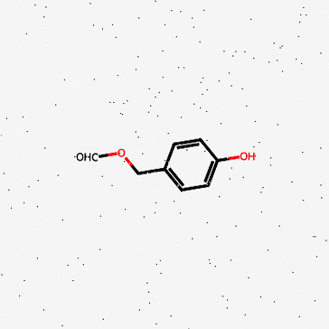 O=[C]OCc1ccc(O)cc1